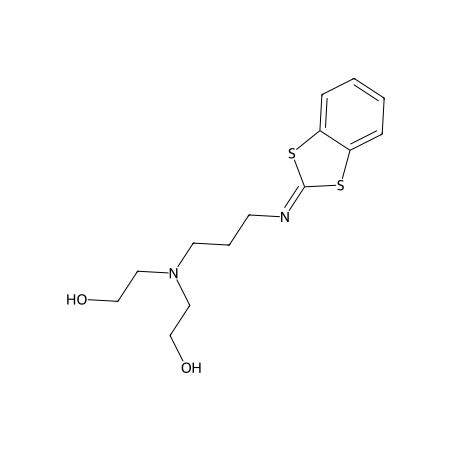 OCCN(CCO)CCCN=c1sc2ccccc2s1